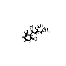 CC/C(=C/C(=N)c1c(Cl)cccc1Cl)OC